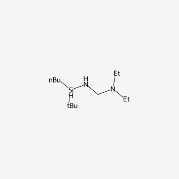 CCCC[SiH](NCN(CC)CC)C(C)(C)C